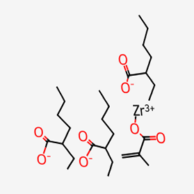 C=C(C)C(=O)[O][Zr+3].CCCCC(CC)C(=O)[O-].CCCCC(CC)C(=O)[O-].CCCCC(CC)C(=O)[O-]